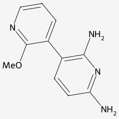 COc1ncccc1-c1ccc(N)nc1N